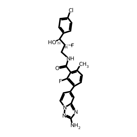 Cc1ccc(-c2ccn3nc(N)nc3c2)c(F)c1C(=O)NC[C@@H](F)[C@@H](O)c1ccc(Cl)cc1